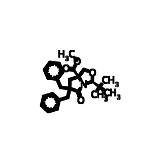 COC(=O)[C@@]12CO[C@@H](C(C)(C)C)N1C(=O)C(Cc1ccccc1)(Cc1ccccc1)C2